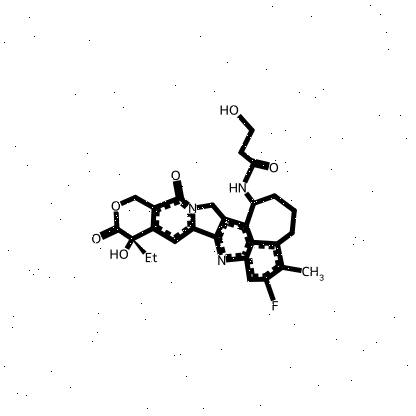 CC[C@@]1(O)C(=O)OCc2c1cc1n(c2=O)Cc2c-1nc1cc(F)c(C)c3c1c2C(NC(=O)CCO)CCC3